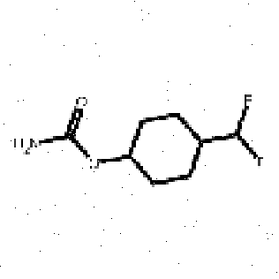 NC(=O)OC1CCC(C(F)F)CC1